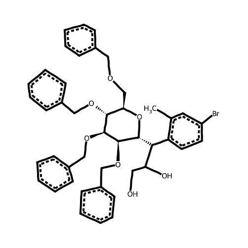 Cc1cc(Br)ccc1C(C(O)CO)[C@H]1O[C@H](COCc2ccccc2)[C@@H](OCc2ccccc2)[C@H](OCc2ccccc2)[C@@H]1OCc1ccccc1